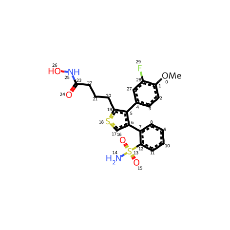 COc1ccc(-c2c(-c3ccccc3S(N)(=O)=O)csc2CCCC(=O)NO)cc1F